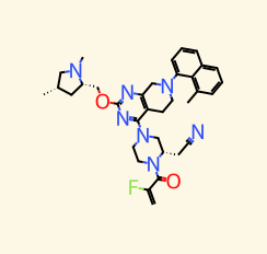 C=C(F)C(=O)N1CCN(c2nc(OC[C@@H]3C[C@H](C)CN3C)nc3c2CCN(c2cccc4cccc(C)c24)C3)C[C@@H]1CC#N